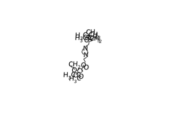 C=CCOc1cc(C(=O)OCCCN2CCCN(CCC(C=C)O[Si](C)(C)C(C)(C)C)CC2)cc(OC)c1OC